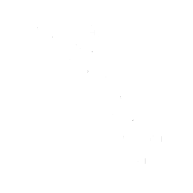 CC(C)CCCCCCCCS(C)(C)CC(C)C